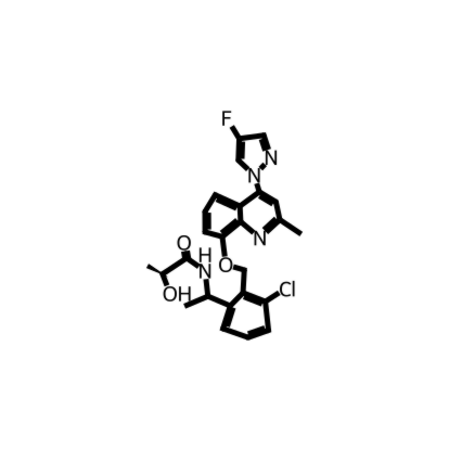 Cc1cc(-n2cc(F)cn2)c2cccc(OCc3c(Cl)cccc3C(C)NC(=O)[C@H](C)O)c2n1